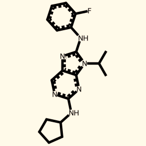 CC(C)n1c(Nc2ccccc2F)nc2cnc(NC3CCCC3)nc21